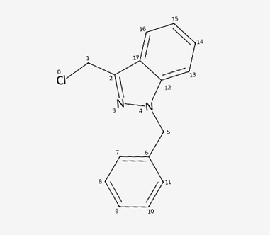 ClCc1nn(Cc2ccccc2)c2ccccc12